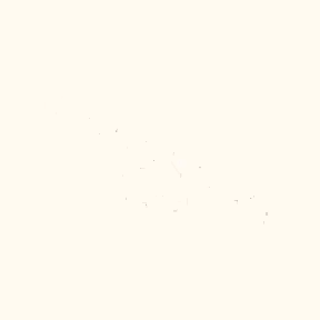 CCCCCCCC/C=C/CCCCCO.OC1CCCCC1